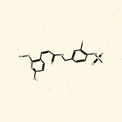 CC(C)Oc1nc(C(F)(F)F)ccc1/C=C\C(=O)NCc1ccc(NS(C)(=O)=O)c(F)c1